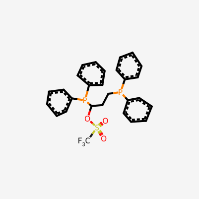 O=S(=O)(OC(CCP(c1ccccc1)c1ccccc1)P(c1ccccc1)c1ccccc1)C(F)(F)F